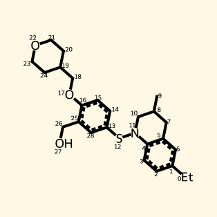 CCc1ccc2c(c1)CC(C)CN2Sc1ccc(OCC2CCOCC2)c(CO)c1